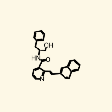 O=C(N[C@H](CO)Cc1ccccc1)c1cccnc1C=Cc1ccc2ccccc2c1